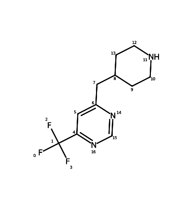 FC(F)(F)c1cc(CC2CCNCC2)ncn1